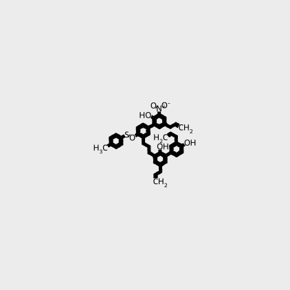 C=CCc1cc(CCCc2cc(-c3cc(CC=C)cc([N+](=O)[O-])c3O)ccc2OSc2ccc(C)cc2)c(O)c(-c2ccc(O)c(CC=C)c2)c1